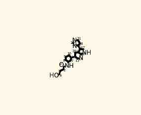 O=C(/C=C/CO)Nc1cccc(-c2cnc3[nH]cc(-c4ccncn4)c3c2)c1